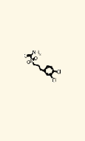 NC(=O)S(=O)(=O)CC[CH]c1ccc(Cl)c(Cl)c1